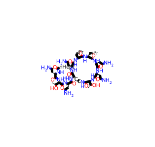 CCCCCCCC(=O)N[C@@H](CCN)C(=O)N[C@H](C(=O)N[C@@H](CCN)C(=O)N[C@H]1CCNC(=O)[C@H]([C@@H](C)O)NC(=O)[C@H](CCN)NC(=O)[C@H](CCN)NC(=O)[C@H](CC(C)C)NC(=O)C(CC(C)C)NC(=O)[C@H](CCN)NC1=O)[C@@H](C)O